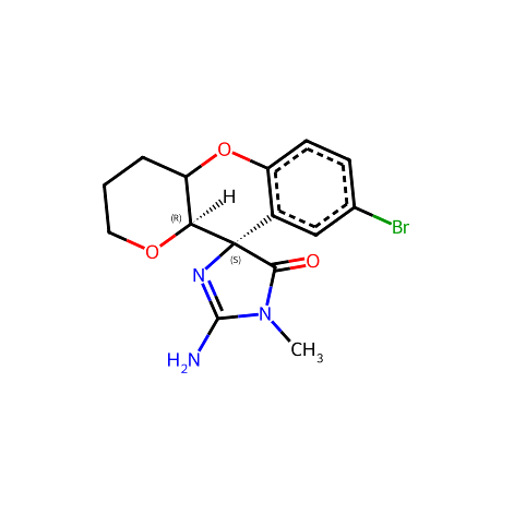 CN1C(=O)[C@]2(N=C1N)c1cc(Br)ccc1OC1CCCO[C@@H]12